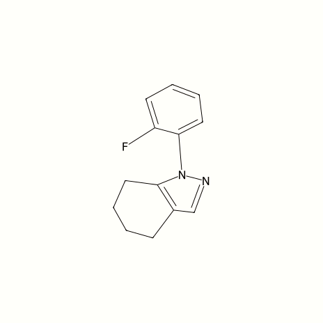 Fc1ccccc1-n1ncc2c1CCCC2